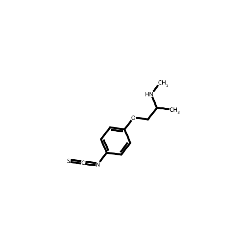 CNC(C)COc1ccc(N=C=S)cc1